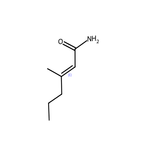 CCC/C(C)=C/C(N)=O